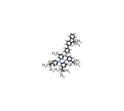 Cc1cc2c3c(c1)N(c1ccc(C(C)(C)C)cc1)c1cc(C(C)(C)C)ccc1B3c1cc(C(C)(C)C)ccc1N2c1ccc(-c2ccc3c(c2)C(C)(C)c2ccccc2-3)cc1